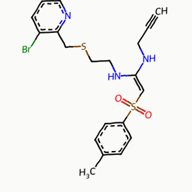 C#CCN/C(=C/S(=O)(=O)c1ccc(C)cc1)NCCSCc1ncccc1Br